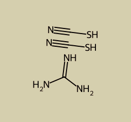 N#CS.N#CS.N=C(N)N